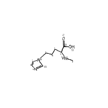 CNC(CCCn1ccnc1)C(=O)O